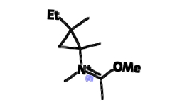 CCC1(C)CC1(C)/[N+](C)=C(/C)OC